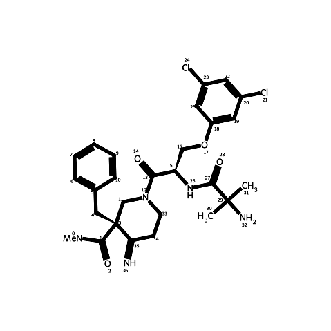 CNC(=O)[C@]1(Cc2ccccc2)CN(C(=O)[C@@H](COc2cc(Cl)cc(Cl)c2)NC(=O)C(C)(C)N)CCC1=N